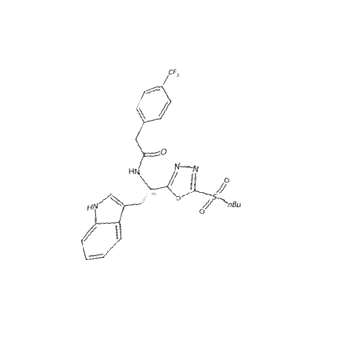 CCCCS(=O)(=O)c1nnc([C@H](Cc2c[nH]c3ccccc23)NC(=O)Cc2ccc(C(F)(F)F)cc2)o1